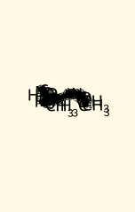 COc1ccc(F)cc1[C@H](C(=O)Nc1nccs1)N1Cc2ccc(C#Cc3ccc(CN4CCN(C(=O)OC(C)(C)C)CC4)cc3)cc2C1=O